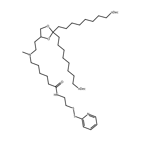 CCCCCCCCCCCCCCCCCCC1(CCCCCCCCCCCCCCCCCC)OCC(CCN(C)CCCCCC(=O)NCCSSc2ccccn2)O1